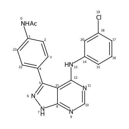 CC(=O)Nc1ccc(-c2n[nH]c3ncnc(Nc4cccc(Cl)c4)c23)cc1